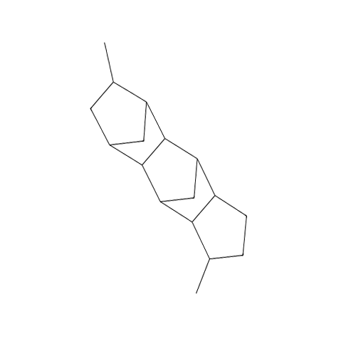 CC1CC2CC1C1C3CC(C4C(C)CCC34)C21